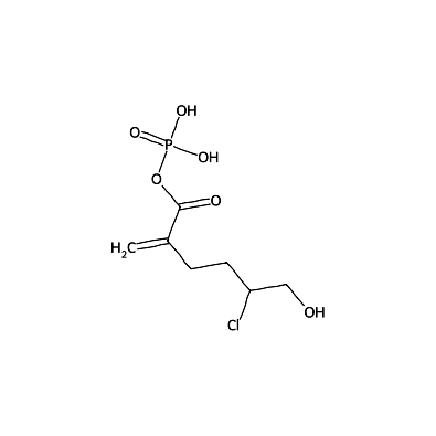 C=C(CCC(Cl)CO)C(=O)OP(=O)(O)O